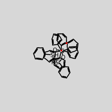 c1ccc([SiH](O[SiH](O[Si](c2ccccc2)(c2ccccc2)c2ccccc2)c2ccccc2)O[Si](c2ccccc2)(c2ccccc2)c2ccccc2)cc1